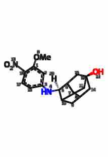 COc1cc(N[C@H]2C3CC4CC2C[C@@](O)(C4)C3)ccc1[N+](=O)[O-]